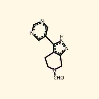 O=CN1CCc2c(n[nH]c2-c2cncnc2)C1